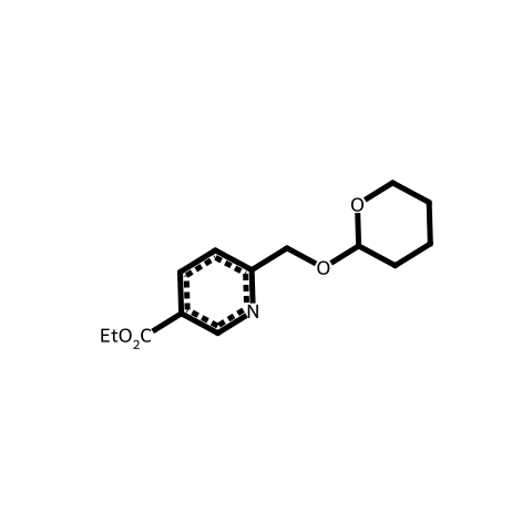 CCOC(=O)c1ccc(COC2CCCCO2)nc1